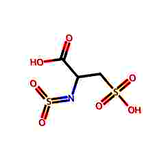 O=C(O)C(CS(=O)(=O)O)N=S(=O)=O